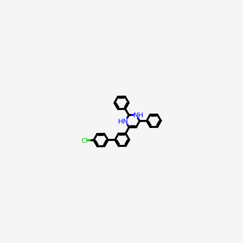 Clc1ccc(-c2cccc(C3=CC(c4ccccc4)NC(c4ccccc4)N3)c2)cc1